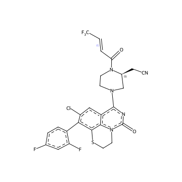 N#CC[C@H]1CN(c2nc(=O)n3c4c(c(-c5ccc(F)cc5F)c(Cl)cc24)SCC3)CCN1C(=O)/C=C/C(F)(F)F